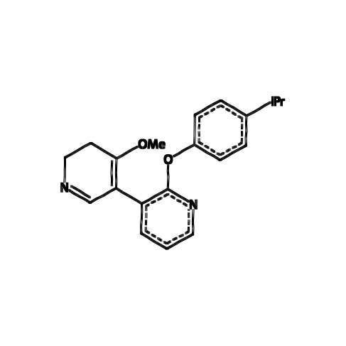 COC1=C(c2cccnc2Oc2ccc(C(C)C)cc2)C=NCC1